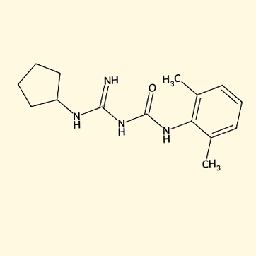 Cc1cccc(C)c1NC(=O)NC(=N)NC1CCCC1